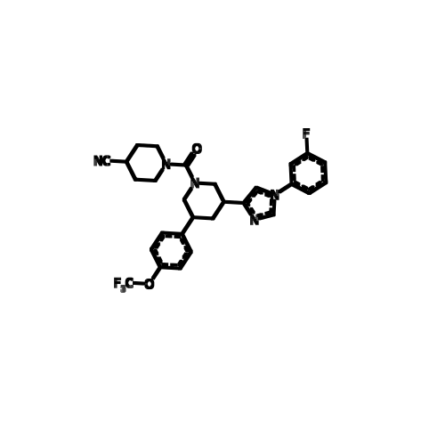 N#CC1CCN(C(=O)N2CC(c3ccc(OC(F)(F)F)cc3)CC(c3cn(-c4cccc(F)c4)cn3)C2)CC1